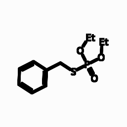 CCOP(=O)(OCC)SCc1ccccc1